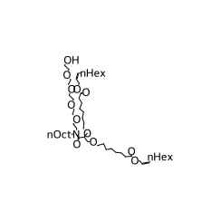 CCCCCC/C=C\COC(=O)CCCCCCCOCC(OCCCCCCCC(=O)OC/C=C\CCCCCC)C(=O)N(CCCCCCCC)CCOCCOCCOCCOCCO